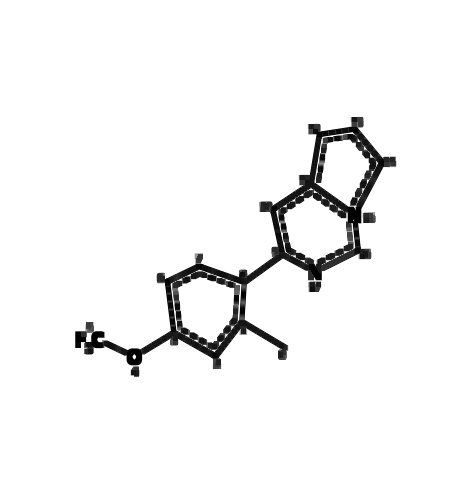 Cc1cc(OC(F)(F)F)ccc1-c1cc2cccn2cn1